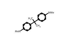 CNc1ccc(C(C)(C)c2ccc(NC)cc2)cc1